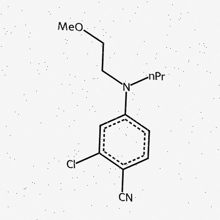 CCCN(CCOC)c1ccc(C#N)c(Cl)c1